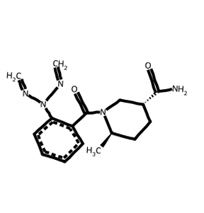 C=NN(N=C)c1ccccc1C(=O)N1C[C@H](C(N)=O)CC[C@H]1C